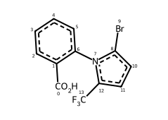 O=C(O)c1ccccc1-n1c(Br)ccc1C(F)(F)F